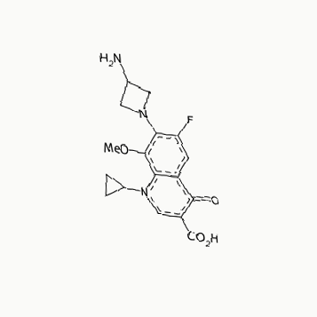 COc1c(N2CC(N)C2)c(F)cc2c(=O)c(C(=O)O)cn(C3CC3)c12